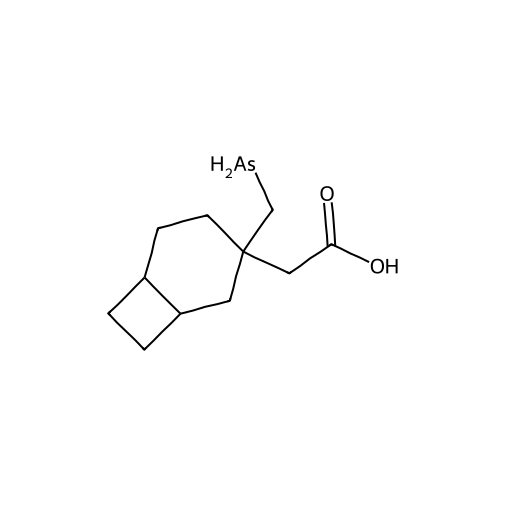 O=C(O)CC1(C[AsH2])CCC2CCC2C1